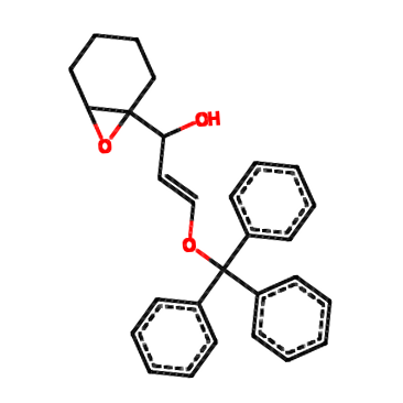 OC(C=COC(c1ccccc1)(c1ccccc1)c1ccccc1)C12CCCCC1O2